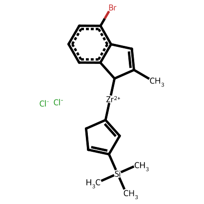 CC1=Cc2c(Br)cccc2[CH]1[Zr+2][C]1=CC([Si](C)(C)C)=CC1.[Cl-].[Cl-]